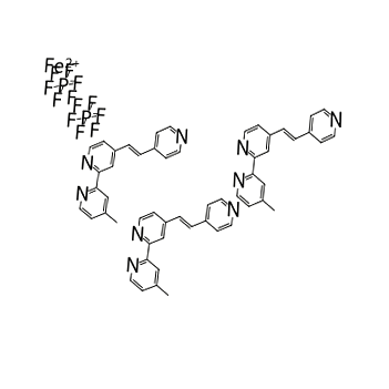 Cc1ccnc(-c2cc(C=Cc3ccncc3)ccn2)c1.Cc1ccnc(-c2cc(C=Cc3ccncc3)ccn2)c1.Cc1ccnc(-c2cc(C=Cc3ccncc3)ccn2)c1.F[P-](F)(F)(F)(F)F.F[P-](F)(F)(F)(F)F.[Fe+2]